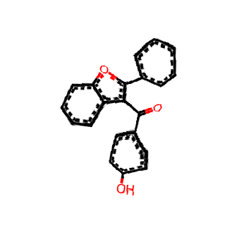 O=C(c1ccc(O)cc1)c1c(-c2ccccc2)oc2ccccc12